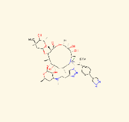 CC[C@H]1OC(=O)[C@H](C)[C@@H](O[C@H]2C[C@@](C)(OC)[C@@H](O)[C@H](C)O2)[C@H](C)[C@@H](O[C@@H]2O[C@H](C)C[C@H](N(C)CCc3cn([C@H](CF)[C@H](OC)c4ccc(-c5cn[nH]c5)cc4)nn3)[C@H]2O)[C@](C)(O)C[C@@H](C)CN(C)[C@H](C)[C@@H](O)[C@]1(C)O